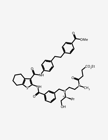 CCOC(=O)CCC(=O)N(C)CCN(Cc1cccc(C(=O)Nc2sc3c(c2C(=O)Nc2ccc(CCc4ccc(C(=O)OC)cc4)cc2)CCCC3)c1)[C@H](CO)C(C)C